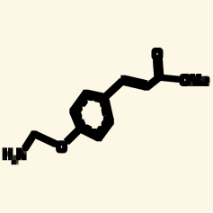 COC(=O)C=Cc1ccc(OCN)cc1